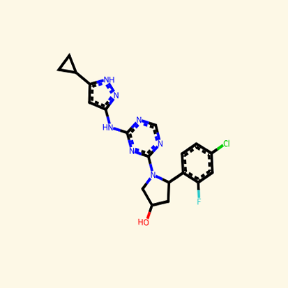 OC1CC(c2ccc(Cl)cc2F)N(c2ncnc(Nc3cc(C4CC4)[nH]n3)n2)C1